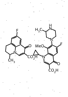 CC1CCc2cc(F)cc3c(=O)c(C(=O)O)cn1c23.COc1c(N2CCNC(C)C2)c(F)cc2c(=O)c(C(=O)O)cn(C3CC3)c12